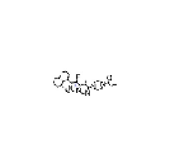 C#Cc1cccc2cccc(/C(N=C)=C(\F)c3ncnc(N4CCN(C(=O)C=C)CC4)c3C)c12